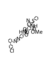 COC(=O)c1cc(S(=O)(=O)NC(=O)c2ccc(N3CCN(Cc4ccccc4-c4ccc(Cl)cc4)CC3)cc2)cc(C(F)(F)F)c1N[C@H](CCN(C)C)CSc1ccccc1